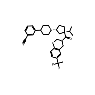 CC(C)[C@]1(C(=O)N2COc3ccc(C(F)(F)F)cc3C2)CC[C@@H](N2CCC(c3cccc(C#N)c3)CC2)C1